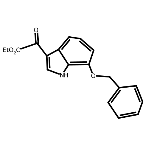 CCOC(=O)C(=O)c1c[nH]c2c(OCc3ccccc3)cccc12